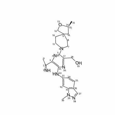 CC(=N)c1nc(N2CCC3(CC2)CO[C@@H](C)C3)c(CO)nc1Nc1ccc2cnn(C)c2c1